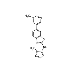 Cc1cncc(-c2ccc3nc(Nc4ccnn4C)sc3c2)c1